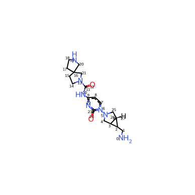 NCC1C2CN(n3ccc(NC(=O)N4CCC5(CCNC5)C4)nc3=O)C[C@H]12